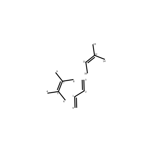 C=CC=C.CC(C)=C(C)C.CC=C(C)C